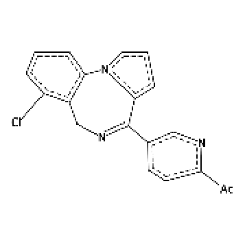 CC(=O)c1ccc(C2=NCc3c(Cl)cccc3-n3cccc32)cn1